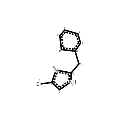 Clc1c[nH]c(Cc2ccccc2)n1